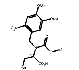 COc1cc(CN(C(=O)OC(C)(C)C)[C@@H](C[SeH])C(=O)O)c([N+](=O)[O-])cc1OC